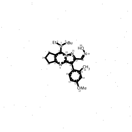 CCCCN(CC)c1c2c(nc3c(-c4ccc(OC)cc4C)c(/C=N\O)nn13)CCC2